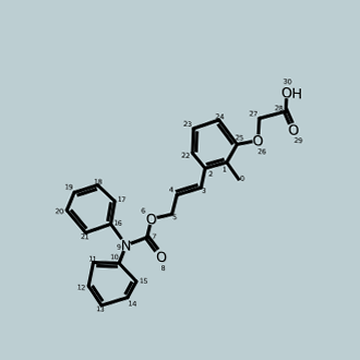 Cc1c(C=CCOC(=O)N(c2ccccc2)c2ccccc2)cccc1OCC(=O)O